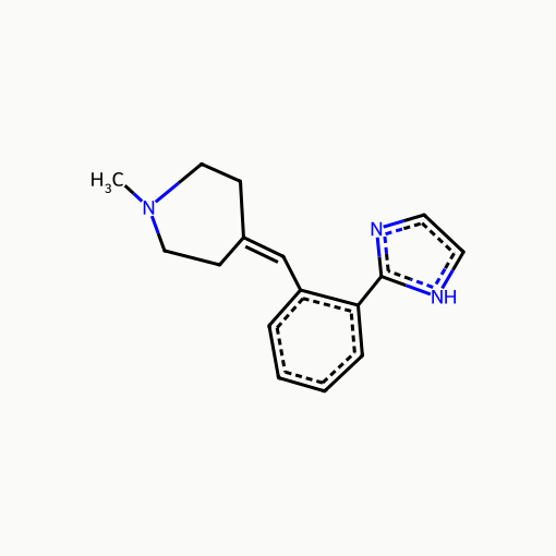 CN1CCC(=Cc2ccccc2-c2ncc[nH]2)CC1